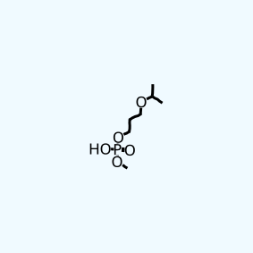 COP(=O)(O)OCCCOC(C)C